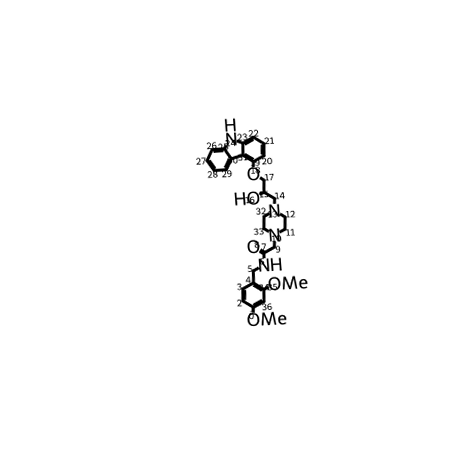 COc1ccc(CNC(=O)CN2CCN(CC(O)COc3cccc4[nH]c5ccccc5c34)CC2)c(OC)c1